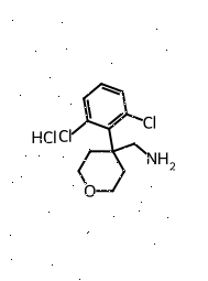 Cl.NCC1(c2c(Cl)cccc2Cl)CCOCC1